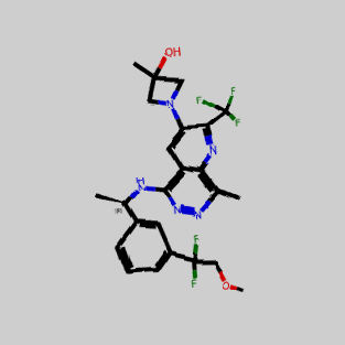 COCC(F)(F)c1cccc([C@@H](C)Nc2nnc(C)c3nc(C(F)(F)F)c(N4CC(C)(O)C4)cc23)c1